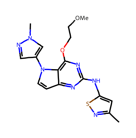 COCCOc1nc(Nc2cc(C)ns2)nc2ccn(-c3cnn(C)c3)c12